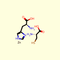 N[C@@H](CS)C(=O)O.N[C@@H](Cc1c[nH]cn1)C(=O)O.[Zn]